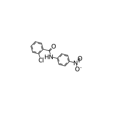 O=C(Nc1ccc([N+](=O)[O-])cc1)c1ccccc1Cl